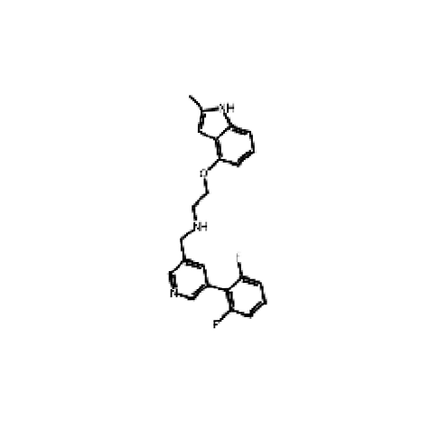 Cc1cc2c(OCCNCc3cncc(-c4c(F)cccc4F)c3)cccc2[nH]1